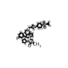 CN1CCN([C@H]2CCC[C@@H]2C(CN2CCC2)(c2cccc(F)c2)C2CCN(CC3CN(c4ccc(S(=O)(=O)C5CC5)cc4)C3)CC2)C1=O